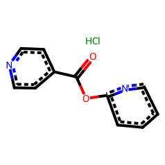 Cl.O=C(Oc1ccccn1)c1ccncc1